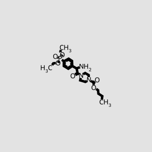 CCCCOC(=O)N1CCN(C(=O)C(N)c2ccc(P(=O)(OCC)OCC)cc2)CC1